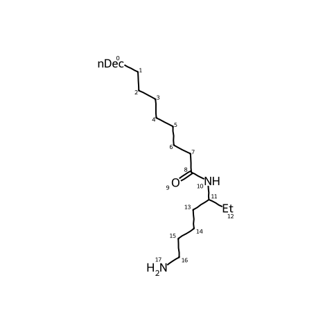 CCCCCCCCCCCCCCCCCC(=O)NC(CC)CCCCN